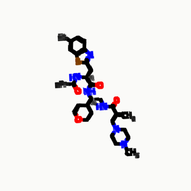 C=C(CN1CCN(C)CC1)C(=O)NC[C@@H](NC(=O)[C@H](Cc1nc2ccc(CC)cc2s1)NC(=O)CCC)C1CCOCC1